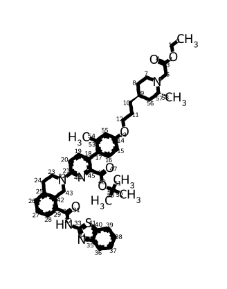 CCOC(=O)CN1CC[C@H](CCCOc2ccc(-c3ccc(N4CCc5cccc(C(=O)Nc6nc7ccccc7s6)c5C4)nc3C(=O)OC(C)(C)C)c(C)c2)C[C@H]1C